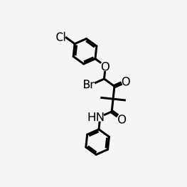 CC(C)(C(=O)Nc1ccccc1)C(=O)C(Br)Oc1ccc(Cl)cc1